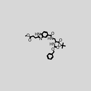 COC(=O)CCc1nc2cc(C(=O)NCC(NC(=O)OCc3ccccc3)C(=O)OC(C)(C)C)ccc2[nH]1